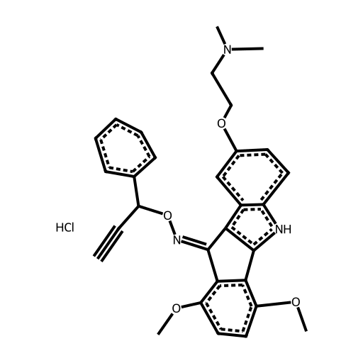 C#CC(ON=C1c2c(OC)ccc(OC)c2-c2[nH]c3ccc(OCCN(C)C)cc3c21)c1ccccc1.Cl